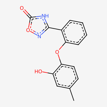 Cc1ccc(Oc2ccccc2-c2noc(=O)[nH]2)c(O)c1